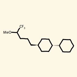 COC(CCC[C@H]1CC[C@H](C2CCCCC2)CC1)C(F)(F)F